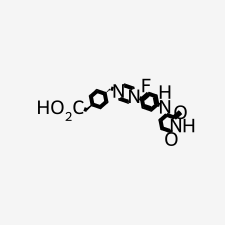 O=C(O)C[C@H]1CC[C@H](CN2CCN(c3ccc(NC4CCC(=O)NC4=O)cc3F)CC2)CC1